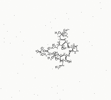 CC(=O)[O-].CC(=O)[O-].CCc1cc(CC(C)(C)C)cc(C=NC2CC3CCC2(N=Cc2cc(CC(C)(C)C)cc(CC)c2O)C3)c1O.[Co+2]